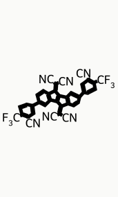 N#CC(C#N)=C1C2=C(C(=C(C#N)C#N)c3ccc(-c4ccc(C(F)(F)F)c(C#N)c4)cc32)c2cc(-c3ccc(C(F)(F)F)c(C#N)c3)ccc21